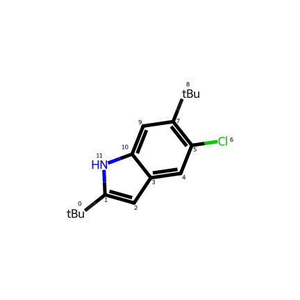 CC(C)(C)c1cc2cc(Cl)c(C(C)(C)C)cc2[nH]1